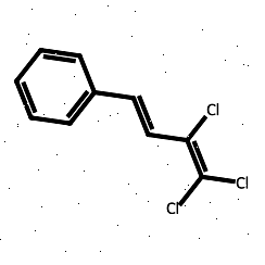 ClC(Cl)=C(Cl)C=Cc1ccccc1